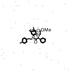 COC(CNC(C(=O)N(CCc1ccc(C)cc1)c1ccc(C)c(C)c1)c1ccccc1)OC